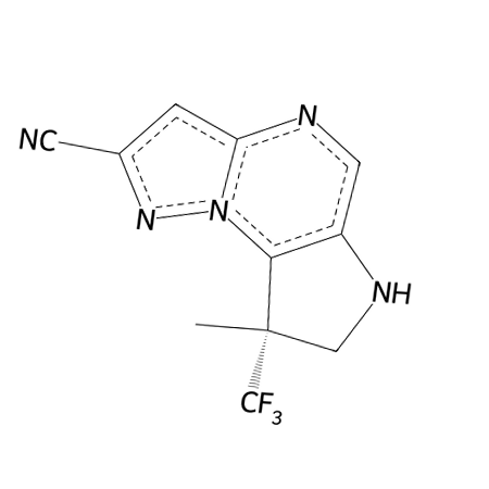 C[C@]1(C(F)(F)F)CNc2cnc3cc(C#N)nn3c21